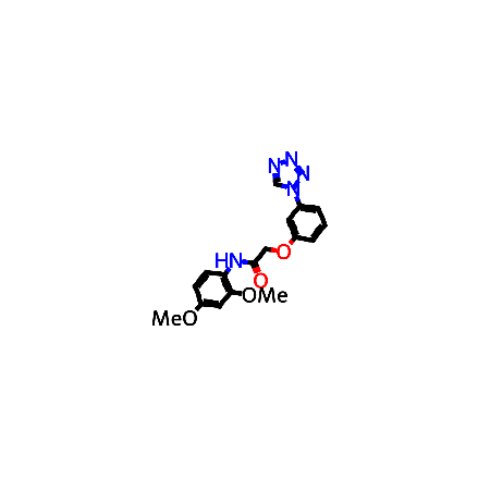 COc1ccc(NC(=O)COc2cccc(-n3cnnn3)c2)c(OC)c1